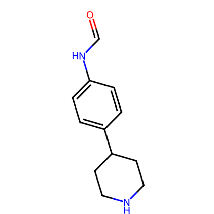 O=CNc1ccc(C2CCNCC2)cc1